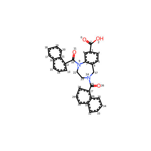 O=C(O)c1ccc2c(c1)N(C(=O)c1cccc3ccccc13)CCN(C(=O)c1cccc3ccccc13)C2